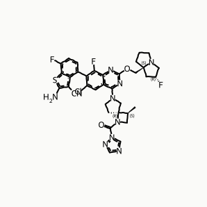 C[C@H]1CN(C(=O)n2cncn2)[C@]12CCN(c1nc(OC[C@@]34CCCN3C[C@H](F)C4)nc3c(F)c(-c4ccc(F)c5sc(N)c(C#N)c45)c(Cl)cc13)C2